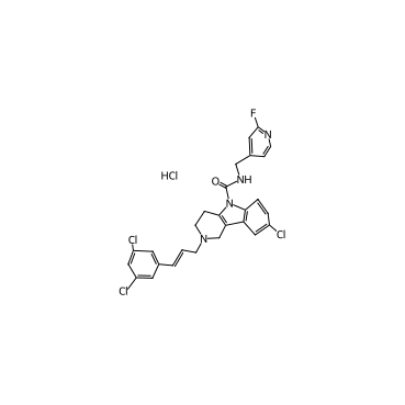 Cl.O=C(NCc1ccnc(F)c1)n1c2c(c3cc(Cl)ccc31)CN(C/C=C/c1cc(Cl)cc(Cl)c1)CC2